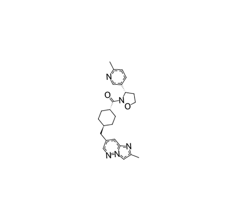 Cc1ccc([C@@H]2CCON2C(=O)[C@H]2CC[C@H](Cc3cnn4cc(C)nc4c3)CC2)cn1